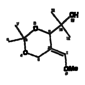 COC=C1COC(C)(C)OC1C(C)(C)O